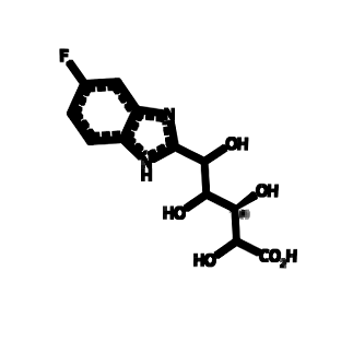 O=C(O)C(O)[C@H](O)C(O)C(O)c1nc2cc(F)ccc2[nH]1